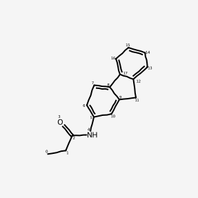 CCC(=O)Nc1ccc2c(c1)Cc1ccccc1-2